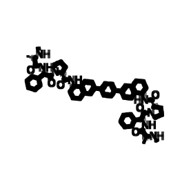 CN[C@@H](C)C(=O)N[C@H](C(=O)N1CCC[C@H]1C(=O)N[C@@H]1CCCc2cc(-c3ccc(-c4ccc5c(c4)CCC[C@H]5NC(=O)[C@@H]4CCCN4C(=O)[C@@H](NC(=O)[C@H](C)NC)C4CCCCC4)cc3)ccc21)C1CCCCC1